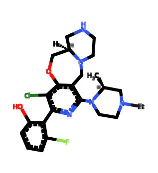 CCN1CCN(c2nc(-c3c(O)cccc3F)c(Cl)c3c2CN2CCNC[C@@H]2CO3)[C@@H](C)C1